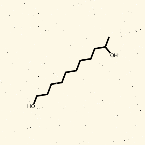 CC(O)CCCCCCCCCO